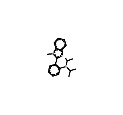 CC(C)P(c1ccccc1-c1nc2ccccc2n1C)C(C)C